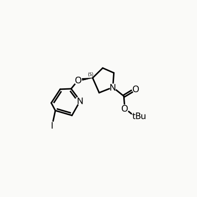 CC(C)(C)OC(=O)N1CC[C@H](Oc2ccc(I)cn2)C1